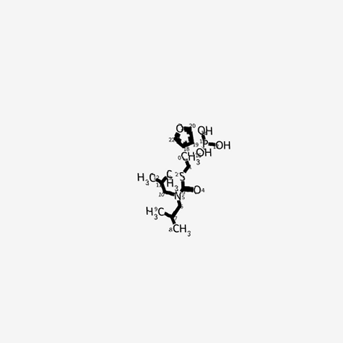 CCSC(=O)N(CC(C)C)CC(C)C.OP(O)O.c1ccoc1